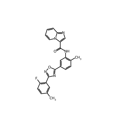 Cc1ccc(F)c(-c2noc(-c3ccc(C)c(NC(=O)c4cnc5ccccn45)c3)n2)c1